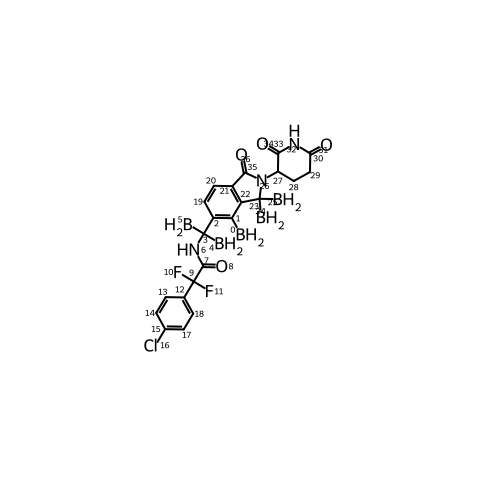 Bc1c(C(B)(B)NC(=O)C(F)(F)c2ccc(Cl)cc2)ccc2c1C(B)(B)N(C1CCC(=O)NC1=O)C2=O